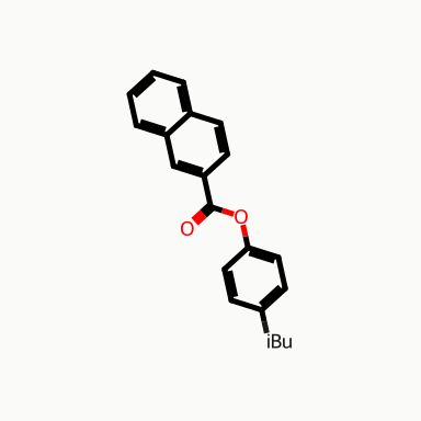 CCC(C)c1ccc(OC(=O)c2ccc3ccccc3c2)cc1